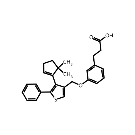 CC1(C)CCC=C1c1c(COc2cccc(CCC(=O)O)c2)csc1-c1ccccc1